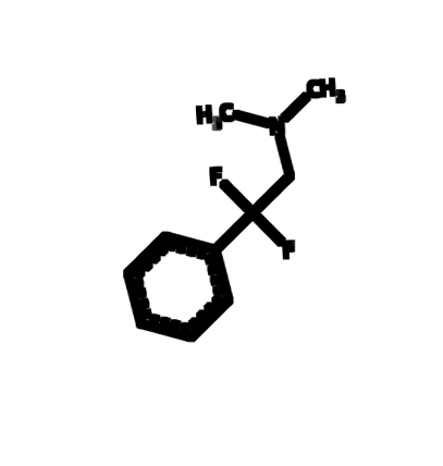 CN(C)CC(F)(F)c1ccccc1